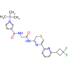 CC(C)(C)n1ccc(C(=O)NCC(=O)NC2=NC(c3cccc(C4CC(F)(F)C4)n3)=CSC2)c1